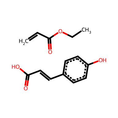 C=CC(=O)OCC.O=C(O)C=Cc1ccc(O)cc1